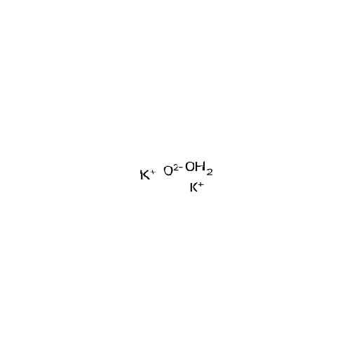 O.[K+].[K+].[O-2]